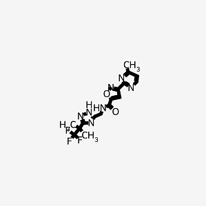 Cc1ccnc(-c2cc(C(=O)NCc3nc(C(C)(C)C(F)(F)F)n[nH]3)on2)n1